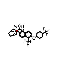 CC[C@H](c1ccc2c(C(F)(F)F)c(OC3CCC(C(F)(F)F)CC3)ccc2c1)N1C2CCC1CC(C(=O)O)C2